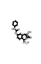 O=C(Nc1ccccc1)Oc1ccc2c(c1)C1CN(C(=O)N1O)C2C(=O)O